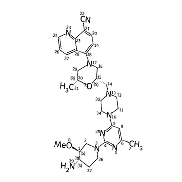 CO[C@H]1CN(c2nc(C)cc(N3CCN(C[C@H]4CN(c5ccc(C#N)c6ncccc56)C[C@@H](C)O4)CC3)n2)CC[C@@H]1N